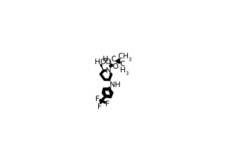 CC(C)(C)OC(=O)N1C[C@H](Nc2ccc(C(F)(F)F)cc2)CC[C@H]1CO